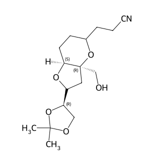 CC1(C)OC[C@H](C2C[C@]3(CO)OC(CCC#N)CC[C@@H]3O2)O1